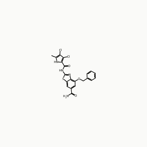 Cc1[nH]c(C(=O)Nc2nc3c(OCc4ccccc4)cc(C(N)=O)cc3s2)c(Cl)c1Cl